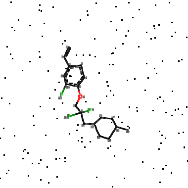 C=Cc1ccc(OCC(F)(F)CC2CCC(C)CC2)c(F)c1